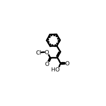 O=C(O)C(=Cc1ccccc1)C(=O)OCl